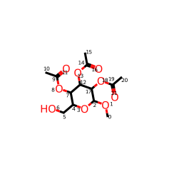 COC1OC(CO)C(OC(C)=O)C(OC(C)=O)C1OC(C)=O